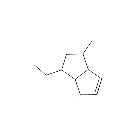 CCC1CC(C)C2C=CCC12